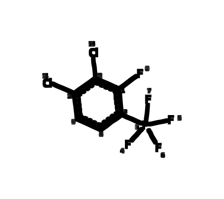 Fc1c(P(F)(F)(F)F)ccc(Cl)c1Cl